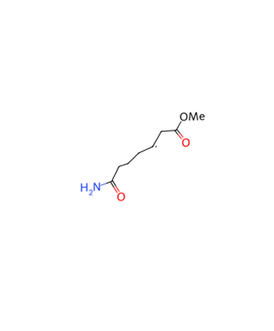 COC(=O)C[CH]CCCC(N)=O